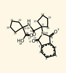 O=C1c2ccccc2C(=O)N1C1(C(=O)NC2(C(=O)O)CCCC2)CCCC1